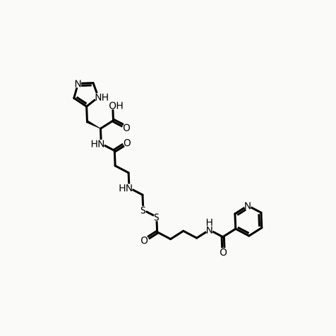 O=C(CCNCSSC(=O)CCCNC(=O)c1cccnc1)N[C@@H](Cc1cnc[nH]1)C(=O)O